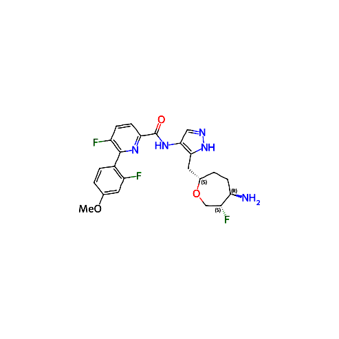 COc1ccc(-c2nc(C(=O)Nc3cn[nH]c3C[C@@H]3CC[C@@H](N)[C@H](F)CO3)ccc2F)c(F)c1